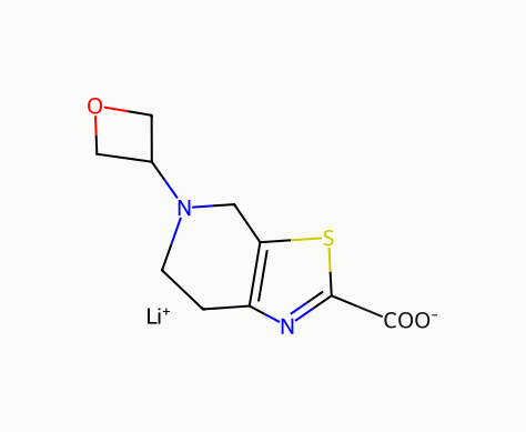 O=C([O-])c1nc2c(s1)CN(C1COC1)CC2.[Li+]